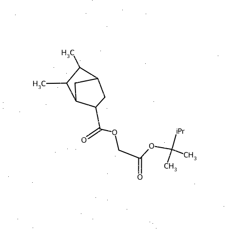 CC1C2CC(C(=O)OCC(=O)OC(C)(C)C(C)C)C(C2)C1C